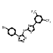 FC(F)(F)c1cc(-c2csc(Sc3nnnn3-c3ccc(Br)cc3)n2)cc(C(F)(F)F)c1